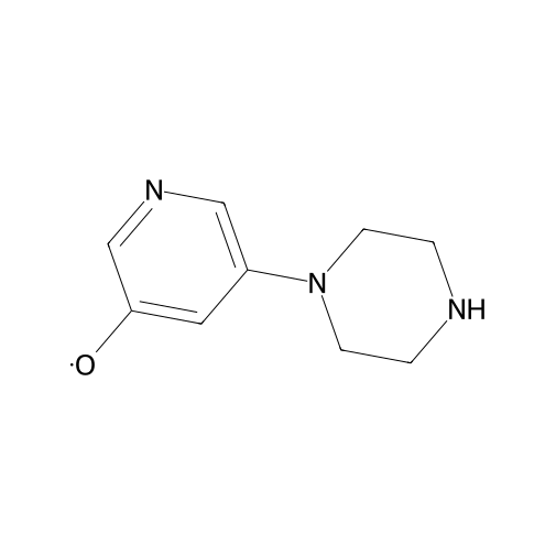 [O]c1cncc(N2CCNCC2)c1